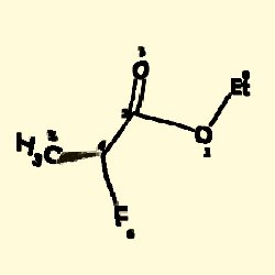 CCOC(=O)[C@@H](C)F